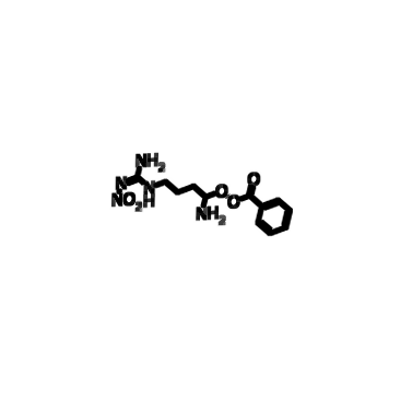 N/C(=N/[N+](=O)[O-])NCCCC(N)OOC(=O)c1ccccc1